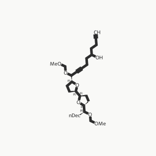 C#CCCC(O)CCC#CC(OCOC)[C@H]1CC[C@H]([C@H]2CC[C@H]([C@@H](CCCCCCCCCC)OCOC)O2)O1